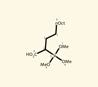 CCCCCCCCCCC(C(=O)O)[Si](OC)(OC)OC